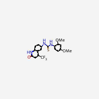 COc1ccc(NC(=S)Nc2ccc3[nH]c(=O)cc(C(F)(F)F)c3c2)c(OC)c1